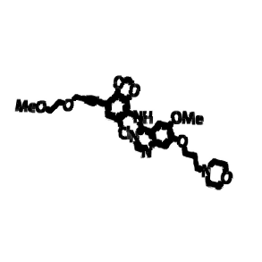 COCCOCC#Cc1cc(Cl)c(Nc2ncnc3cc(OCCCN4CCOCC4)c(OC)cc23)c2c1OCO2